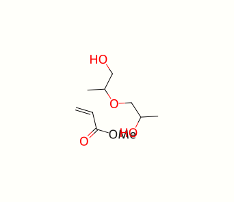 C=CC(=O)OC.CC(O)COC(C)CO